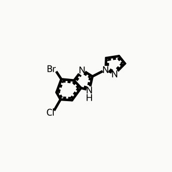 Clc1cc(Br)c2nc(-n3cccn3)[nH]c2c1